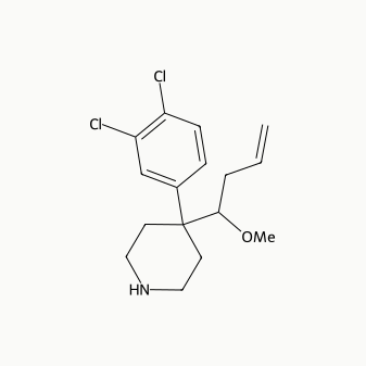 C=CCC(OC)C1(c2ccc(Cl)c(Cl)c2)CCNCC1